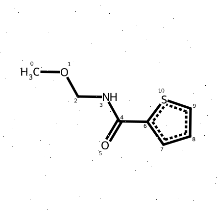 COCNC(=O)c1cccs1